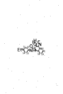 C=Nc1c(O)c(C(=O)Nc2ccc(CC)cc2)cc2ccccc12